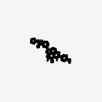 COc1ccc(C(Oc2ccc3c(c2)ncn3-c2cccc(C(=O)NC3CCCC3)c2)[C@H](C)NC(=O)C(C)(F)F)cn1